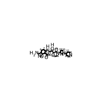 Nc1noc2c1ccc1[nH]c([C@H](O)[C@H]3OCCN(c4ccn(-c5ccncc5)n4)C3=O)nc(=O)c12